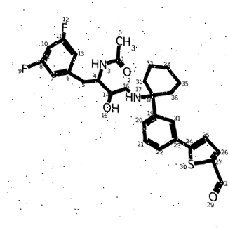 CC(=O)NC(Cc1cc(F)cc(F)c1)C(O)CNC1(c2cccc(-c3ccc(C=O)s3)c2)CCCCC1